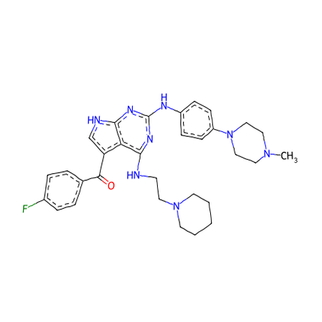 CN1CCN(c2ccc(Nc3nc(NCCN4CCCCC4)c4c(C(=O)c5ccc(F)cc5)c[nH]c4n3)cc2)CC1